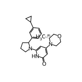 C[C@@H]1COCCN1c1cc(N2CCCC2c2cccc(C3CC3)c2)[nH]c(=O)c1